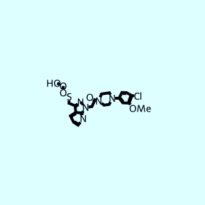 COc1cc(N2CCN(C(=O)Cn3nc(CSOOO)c4cccnc43)CC2)ccc1Cl